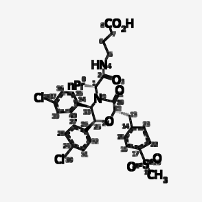 CCC[C@H](C(=O)NCCCC(=O)O)N1C(=O)[C@H](Cc2ccc(S(C)(=O)=O)cc2)O[C@@H](c2ccc(Cl)cc2)[C@H]1c1ccc(Cl)cc1